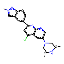 C[C@@H]1CN(c2cnc3nc(-c4ccc5nn(C)cc5c4)cc(Cl)c3c2)C[C@@H](C)N1